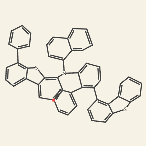 c1ccc(-c2c(-c3cccc4sc5ccccc5c34)cccc2N(c2cccc3ccccc23)c2cccc3c2sc2c(-c4ccccc4)cccc23)cc1